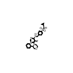 O=S(=O)(NC1CC1)c1ccc(CNc2ncnc(N3CCOCC3c3ccccc3)c2F)cc1